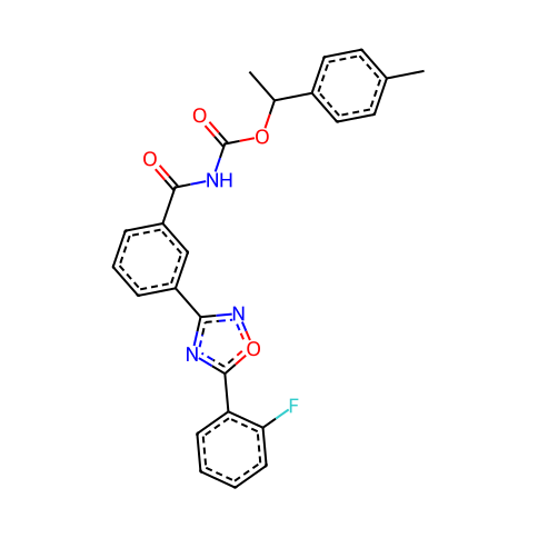 Cc1ccc(C(C)OC(=O)NC(=O)c2cccc(-c3noc(-c4ccccc4F)n3)c2)cc1